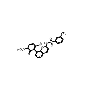 NC1=C(c2cccc3c2OC(NS(=O)(=O)c2cccc(C(F)(F)F)c2)C=C3)C(=O)C(S(=O)(=O)O)C=C1